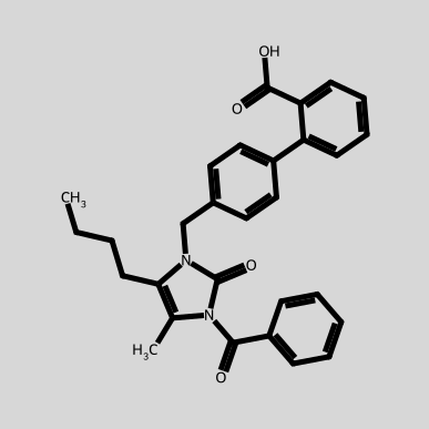 CCCCc1c(C)n(C(=O)c2ccccc2)c(=O)n1Cc1ccc(-c2ccccc2C(=O)O)cc1